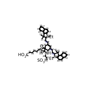 CCN1/C(=C/C=C2C=C(/C=C/C3=[N+](CC)c4ccc5ccccc5c4C3(C)C)CC(C(=O)NCCCCCC(=O)O)(C(=O)NCCS(=O)(=O)O)C/2)C(C)(C)c2c1ccc1ccccc21